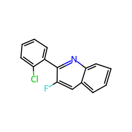 Fc1cc2ccccc2nc1-c1ccccc1Cl